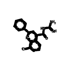 N=C(N)NC(=O)c1cc(-c2ccccc2)nc2c(Cl)cccc12